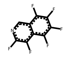 Fc1ncc2c(F)c(F)c(F)c(F)c2c1F